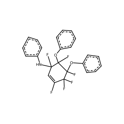 FC1=CC(F)(Nc2ccccc2)C(F)(Oc2ccccc2)C(F)(Oc2ccccc2)C1(F)F